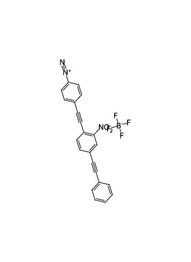 F[B-](F)(F)F.N#[N+]c1ccc(C#Cc2ccc(C#Cc3ccccc3)cc2[N+](=O)[O-])cc1